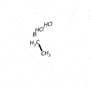 CC.Cl.Cl.[B]